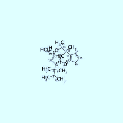 CC(C)C(C)(C)C1=[C]([Zr][C]2=C(C(C)(C)C(C)C)C=CC2)CC=C1.Cl.Cl